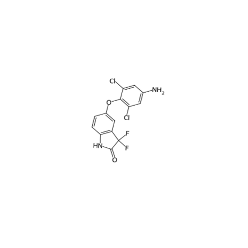 Nc1cc(Cl)c(Oc2ccc3c(c2)C(F)(F)C(=O)N3)c(Cl)c1